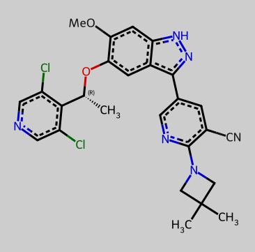 COc1cc2[nH]nc(-c3cnc(N4CC(C)(C)C4)c(C#N)c3)c2cc1O[C@H](C)c1c(Cl)cncc1Cl